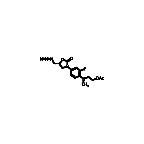 CC(=O)OCCN(C)c1ccc(N2C[C@H](CN=[N+]=[N-])OC2=O)cc1F